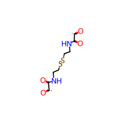 O=[C]C(=O)NCCSSCCNC(=O)[C]=O